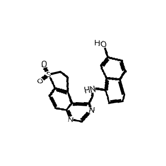 O=S1(=O)CCc2c1ccc1ncnc(Nc3cccc4ccc(O)cc34)c21